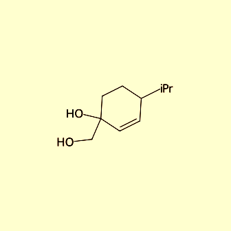 CC(C)C1C=CC(O)(CO)CC1